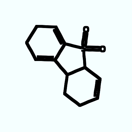 O=S1(=O)C2=CCCC=C2C2CCC=CC21